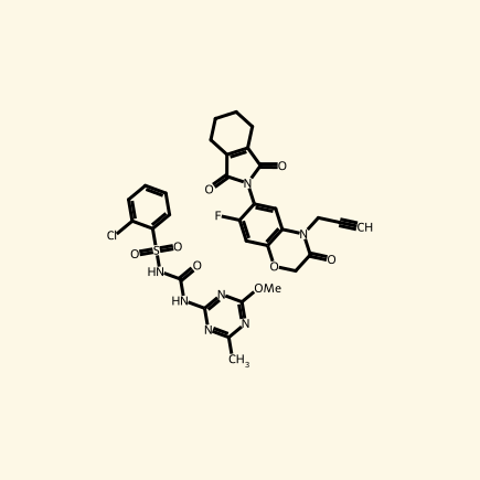 C#CCN1C(=O)COc2cc(F)c(N3C(=O)C4=C(CCCC4)C3=O)cc21.COc1nc(C)nc(NC(=O)NS(=O)(=O)c2ccccc2Cl)n1